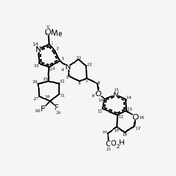 COc1cc(N2CCC(COc3cc4c(cn3)OCCC4CC(=O)O)CC2)c(C2CCC(F)(F)CC2)cn1